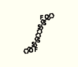 Fc1cc(-c2cc3cc4cc5sc(-c6cc(F)c(-c7cc8ccccc8o7)s6)cc5cc4cc3s2)sc1-c1cc2ccccc2o1